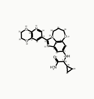 NC(=O)[C@@H](Nc1cc2c3c(c1)nc(-c1cnc4c(c1)OCCO4)n3CCCO2)C1CC1